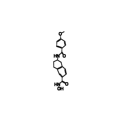 COc1ccc(C(=O)NC2CCc3cc(C(=O)NO)ccc3C2)cc1